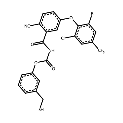 N#Cc1ccc(Oc2c(Cl)cc(C(F)(F)F)cc2Br)cc1C(=O)NC(=O)Oc1cccc(CS)c1